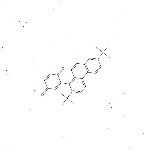 CC(C)(C)c1ccc2c(ccc3c(C4=CC(=O)C=CC4=O)c(C(C)(C)C)ccc32)c1